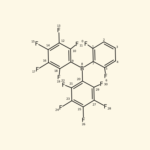 Fc1cccc(F)c1B(c1c(F)c(F)c(F)c(F)c1F)c1c(F)c(F)c(F)c(F)c1F